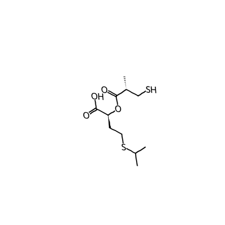 CC(C)SCC[C@H](OC(=O)[C@H](C)CS)C(=O)O